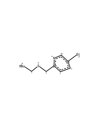 CCc1ccc(CSCC(C)(C)C)nc1